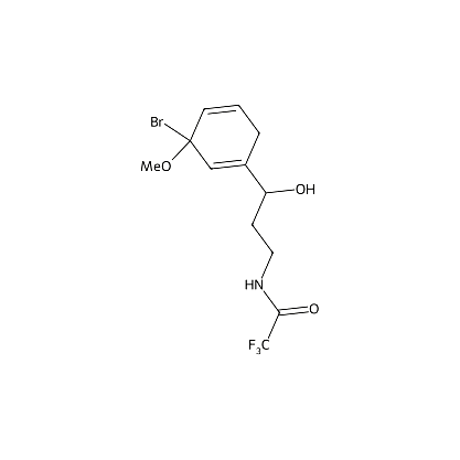 COC1(Br)C=CCC(C(O)CCNC(=O)C(F)(F)F)=C1